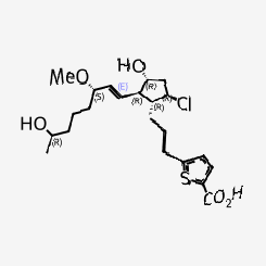 CO[C@H](/C=C/[C@@H]1[C@@H](CCCc2ccc(C(=O)O)s2)[C@H](Cl)C[C@H]1O)CCC[C@@H](C)O